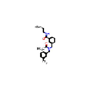 CCCCCCCCCCCCNC(=O)c1cccc(CN(Cc2cccc(C(F)(F)F)c2)C(=O)C(=O)O)c1